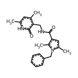 Cc1cc(C)c(CNC(=O)c2cc(C)n(Cc3ccccc3)c2C)c(=O)[nH]1